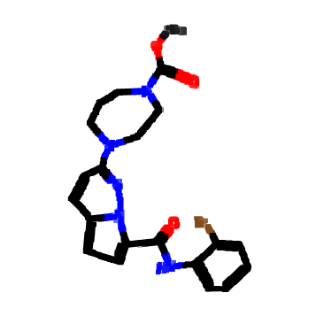 CC(C)(C)OC(=O)N1CCCN(c2ccc3ccc(C(=O)Nc4ccccc4Br)n3n2)CC1